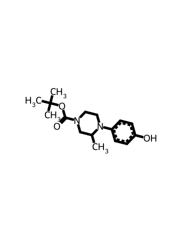 CC1CN(C(=O)OC(C)(C)C)CCN1c1ccc(O)cc1